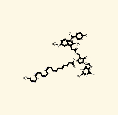 C=C1[C@H](COC(=O)Cc2c(C)n(C(=O)c3ccc(Cl)cc3)c3ccc(OC)cc23)[C@@H](OC(=O)CCC=CC/C=C\C/C=C\C/C=C\C/C=C\C/C=C\CC)C[C@@H]1n1cnc2c(=O)[nH]c(N)nc21